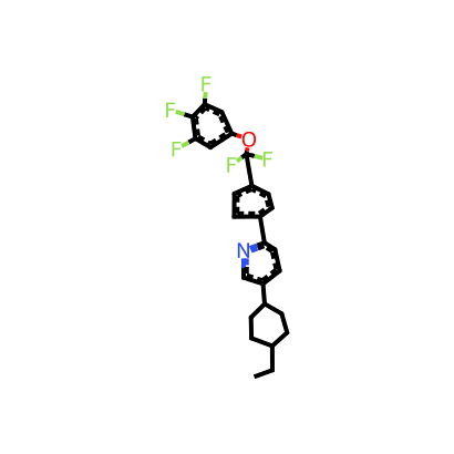 CCC1CCC(c2ccc(-c3ccc(C(F)(F)Oc4cc(F)c(F)c(F)c4)cc3)nc2)CC1